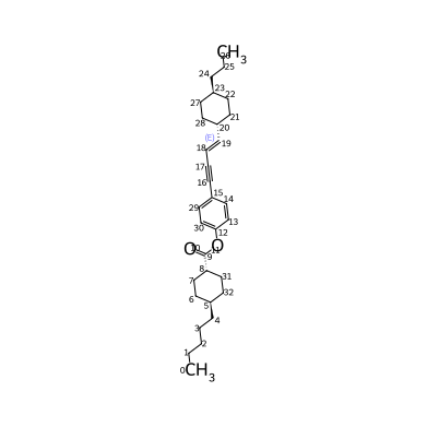 CCCCC[C@H]1CC[C@H](C(=O)Oc2ccc(C#C/C=C/[C@H]3CC[C@H](CCC)CC3)cc2)CC1